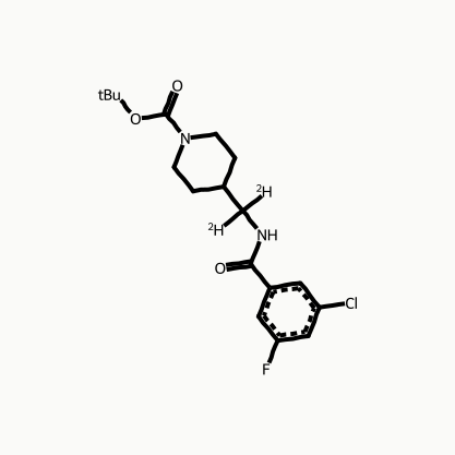 [2H]C([2H])(NC(=O)c1cc(F)cc(Cl)c1)C1CCN(C(=O)OC(C)(C)C)CC1